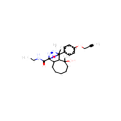 C#CCOc1ccc(C23N=NC(C(=O)NCC)(N=N[C@H]2C)C2CCCCCC(C)(O)C23)cc1